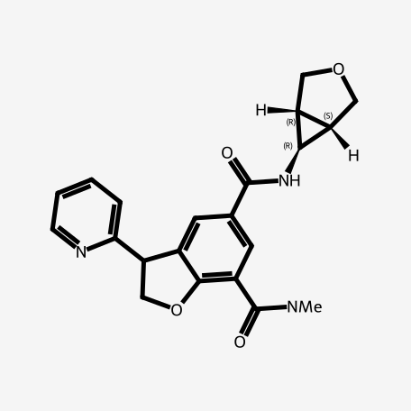 CNC(=O)c1cc(C(=O)N[C@H]2[C@@H]3COC[C@@H]32)cc2c1OCC2c1ccccn1